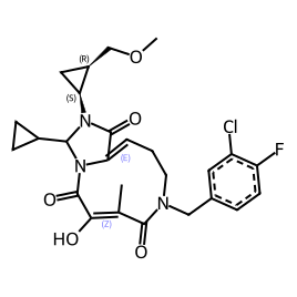 COC[C@@H]1C[C@@H]1N1C(=O)/C2=C\CCN(Cc3ccc(F)c(Cl)c3)C(=O)/C(C)=C(\O)C(=O)N2C1C1CC1